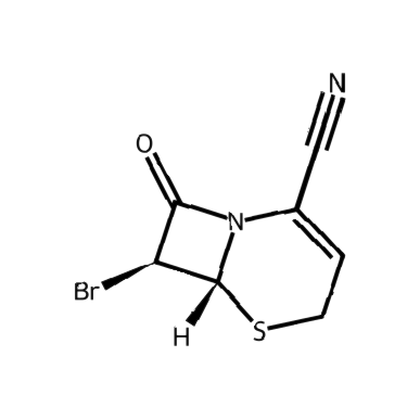 N#CC1=CCS[C@@H]2[C@@H](Br)C(=O)N12